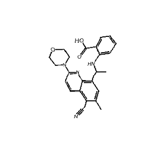 Cc1cc(C(C)Nc2ccccc2C(=O)O)c2nc(N3CCOCC3)ccc2c1C#N